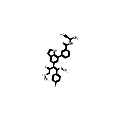 C#CC(C)NC(=O)c1cccc(-c2cc(/C(C(=O)CNC)=C(\OC)c3ccc(F)cc3)cc3cc[nH]c23)c1